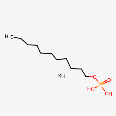 CCCCCCCCCCCOP(=O)(O)O.[KH]